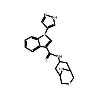 O=C(NC1CC2COCC(C1)N2)c1cn(-c2cn[nH]c2)c2ccccc12